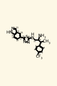 CC(c1ccc(C(F)(F)F)cc1)C(N)CNc1nnc(-c2ccc3[nH]ncc3c2)s1